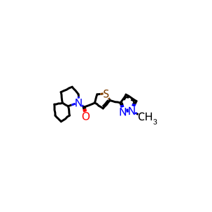 Cn1ccc(C2=CC(C(=O)N3CCCC4CCCCC43)CS2)n1